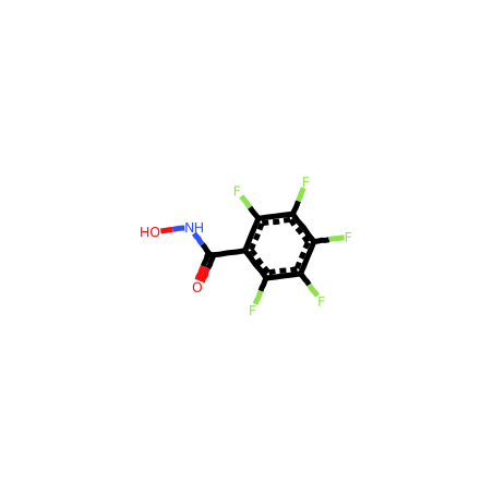 O=C(NO)c1c(F)c(F)c(F)c(F)c1F